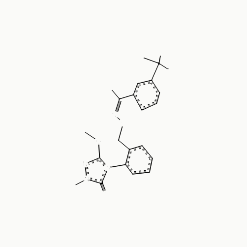 COc1nn(C)c(=O)n1-c1ccccc1CO/N=C(/C)c1cccc(C(F)(F)F)c1